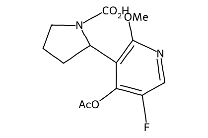 COc1ncc(F)c(OC(C)=O)c1C1CCCN1C(=O)O